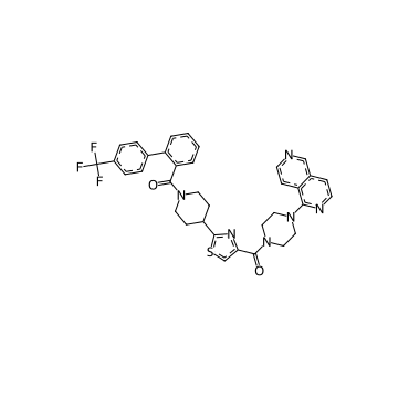 O=C(c1csc(C2CCN(C(=O)c3ccccc3-c3ccc(C(F)(F)F)cc3)CC2)n1)N1CCN(c2nccc3cnccc23)CC1